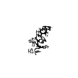 CCC[C@H](NC(=O)[C@H](CC(C)(C)C)NC(=O)c1cc[n+]([O-])cc1)C(=O)O